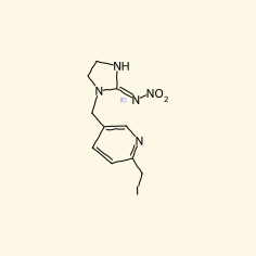 O=[N+]([O-])/N=C1\NCCN1Cc1ccc(CI)nc1